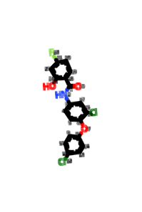 O=C(Nc1ccc(Oc2ccc(Cl)cc2)c(Cl)c1)c1ccc(F)cc1O